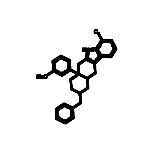 COc1cccc(C23CCN(Cc4ccccc4)CC2Cc2c([nH]c4c(Cl)cccc24)C3)c1